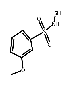 COc1cccc(S(=O)(=O)NS)c1